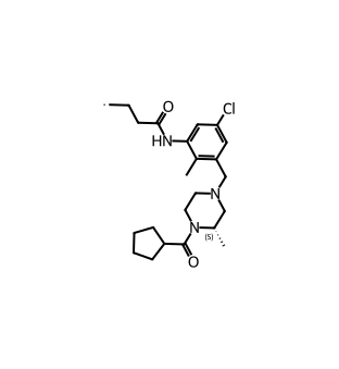 [CH2]CCC(=O)Nc1cc(Cl)cc(CN2CCN(C(=O)C3CCCC3)[C@@H](C)C2)c1C